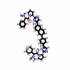 CN(C)C(C(=O)N1CCC[C@H]1c1ncc(-c2ccc3cc(-c4ccc(-c5cnc([C@@H]6CCCN6C(=O)[C@H](C6CCOCC6)N(C)C)[nH]5)cc4)ccc3c2)[nH]1)c1ccccc1